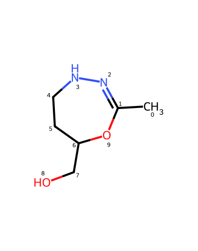 CC1=NNCCC(CO)O1